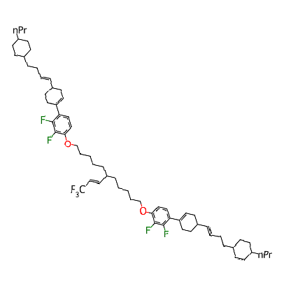 CCCC1CCC(CC/C=C/C2CC=C(c3ccc(OCCCCCC(/C=C/C(F)(F)F)CCCCCOc4ccc(C5=CCC(/C=C/CCC6CCC(CCC)CC6)CC5)c(F)c4F)c(F)c3F)CC2)CC1